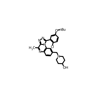 CCCCOc1ccc(Cl)c(-c2nnc3c(C)nc4ccc(CN5CCC(O)CC5)cc4n23)c1